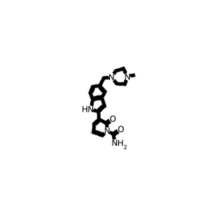 CN1CCN(Cc2ccc3[nH]c(-c4c[c]cn(C(N)=O)c4=O)cc3c2)CC1